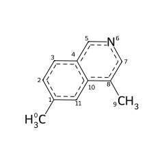 Cc1ccc2cncc(C)c2c1